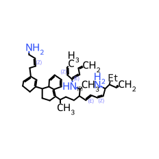 C=C/C=C(\C=C/C)N[C@@H](C)C(/C=C/C=C\C(N)C(C=C)CC)CCC(C)C1=C2C=CC=CC2C(C2=CC(C/C=C\CN)=CCC2)CC1